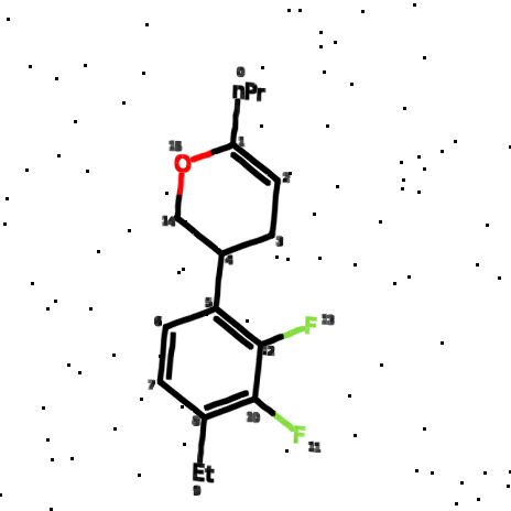 CCCC1=CCC(c2ccc(CC)c(F)c2F)CO1